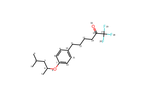 CC(C)CC(C)Oc1ccc(CCCCC(=O)C(F)(F)F)cc1